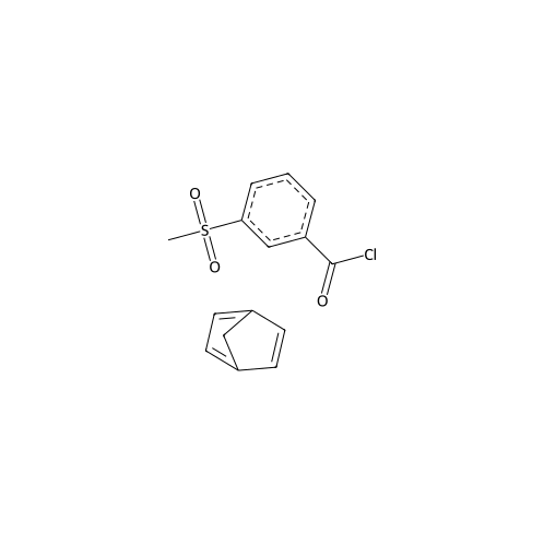 C1=CC2=CC=C1C2.CS(=O)(=O)c1cccc(C(=O)Cl)c1